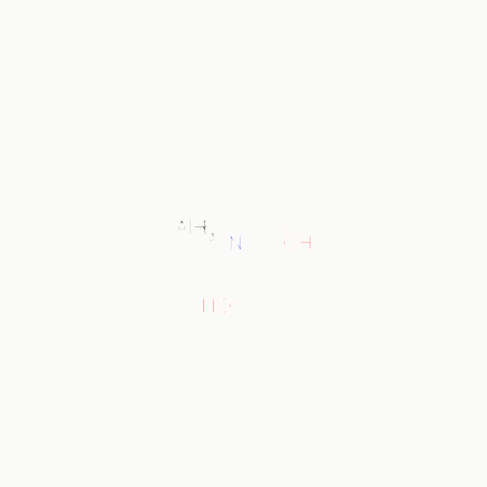 Oc1cccc2cccnc12.Oc1ccccc1.[AlH3]